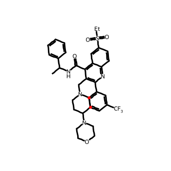 CCS(=O)(=O)c1ccc2nc(-c3cccc(C(F)(F)F)c3)c(CN3CCC(N4CCOCC4)CC3)c(C(=O)NC(C)c3ccccc3)c2c1